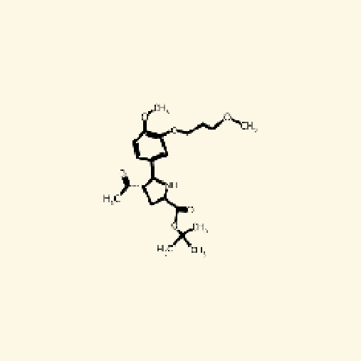 COCCCOc1cc(C2NC(C(=O)OC(C)(C)C)C[C@@H]2C(C)=O)ccc1OC